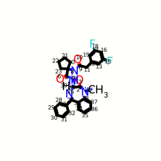 C[N+]1=C2ON(C(=O)C3(NC(=O)Cc4cc(F)cc(F)c4)CCCC3)[C@@H]2N=C(c2ccccc2)c2ccccc21